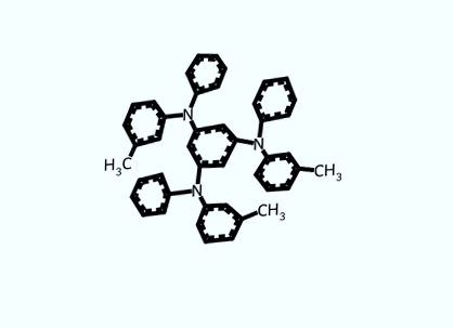 Cc1cccc(N(c2ccccc2)c2cc(N(c3ccccc3)c3cccc(C)c3)cc(N(c3ccccc3)c3cccc(C)c3)c2)c1